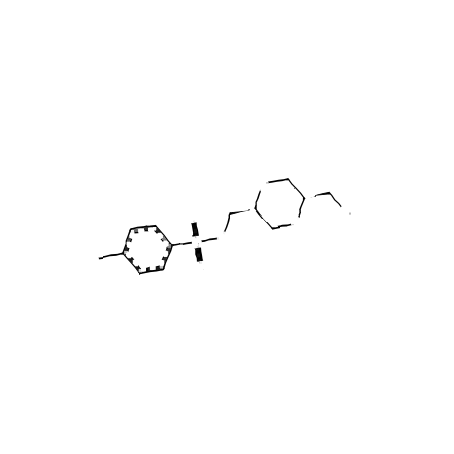 Cc1ccc(S(=O)(=O)OC[C@@H]2CO[C@H](CO)CO2)cc1